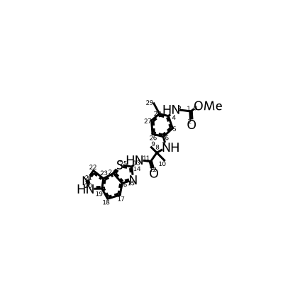 COC(=O)Nc1cc(NC(C)(C)C(=O)Nc2nc3ccc4[nH]ncc4c3s2)ccc1C